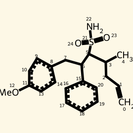 C=CCC(C)C(C(Cc1ccc(OC)cc1)c1ccccc1)S(N)(=O)=O